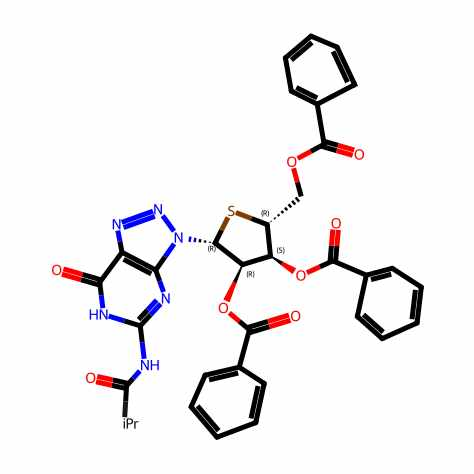 CC(C)C(=O)Nc1nc2c(nnn2[C@@H]2S[C@H](COC(=O)c3ccccc3)[C@@H](OC(=O)c3ccccc3)[C@H]2OC(=O)c2ccccc2)c(=O)[nH]1